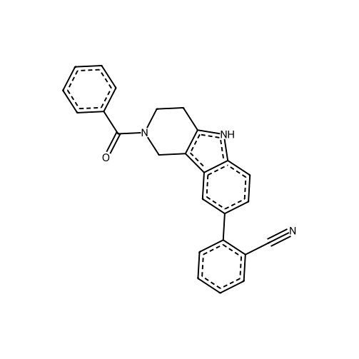 N#Cc1ccccc1-c1ccc2[nH]c3c(c2c1)CN(C(=O)c1ccccc1)CC3